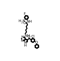 Nc1cc(F)ccc1NC(=O)CCCCCCNc1ncnc2[nH]cc(C(=O)c3ccc(Oc4ccccc4)cc3Cl)c12